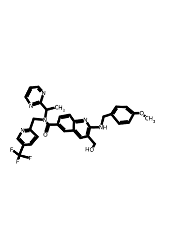 COc1ccc(CNc2nc3ccc(C(=O)N(Cc4ccc(C(F)(F)F)cn4)C(C)c4ncccn4)cc3cc2CO)cc1